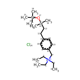 CC[N+](CC)(CC)Cc1ccc(CC[Si](C)(C)O[Si](C)(C)C)cc1.[Cl-]